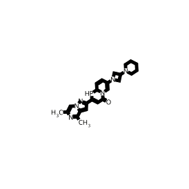 Cc1cn2nc(C3=CC(=O)N4C=C(N5CC(N6CCCCC6)C5)C=CC4P3)cc2c(C)n1